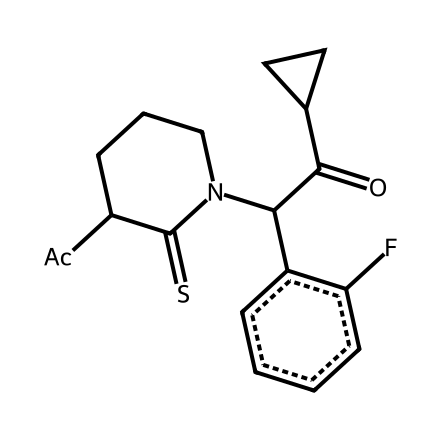 CC(=O)C1CCCN(C(C(=O)C2CC2)c2ccccc2F)C1=S